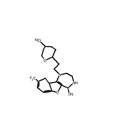 OC1CCC(CCN2CCNC(O)C3=C2C2CC(C(F)(F)F)=CC=C2O3)OC1